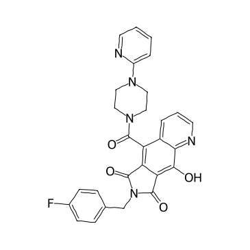 O=C(c1c2c(c(O)c3ncccc13)C(=O)N(Cc1ccc(F)cc1)C2=O)N1CCN(c2ccccn2)CC1